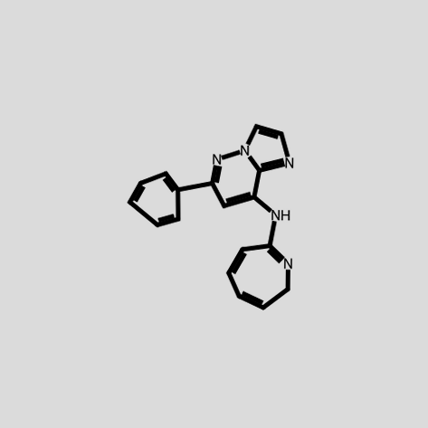 C1=CCN=C(Nc2cc(-c3ccccc3)nn3ccnc23)C=C1